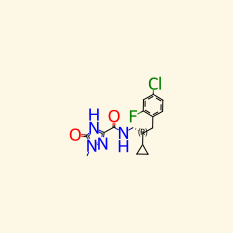 Cn1nc(C(=O)NC[C@H](Cc2ccc(Cl)cc2F)C2CC2)[nH]c1=O